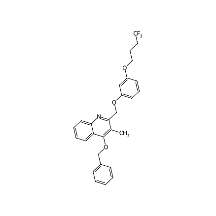 Cc1c(COc2cccc(OCCCC(F)(F)F)c2)nc2ccccc2c1OCc1ccccc1